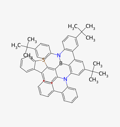 CC(C)(C)c1ccc(N2B3c4c(cc(C(C)(C)C)cc4N(c4ccccc4-c4ccccc4)c4ccc5c(sc6ccccc65)c43)-c3cc(C(C)(C)C)ccc32)cc1